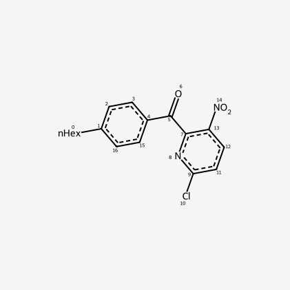 CCCCCCc1ccc(C(=O)c2nc(Cl)ccc2[N+](=O)[O-])cc1